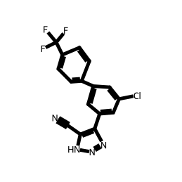 N#Cc1[nH]nnc1-c1cc(Cl)cc(-c2ccc(C(F)(F)F)cc2)c1